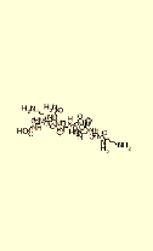 NCCCC[C@H](NC(=O)[C@H](CCC(N)=O)NC(=O)[C@@H]1CCCN1C(=O)CNC(=O)CNC(=O)[C@@H]1CCCN1C(=O)[C@H](Cc1c[nH]cn1)NC(=O)CNC(=O)[C@@H](N)CCCCN)C(=O)NCC(=O)NCC(=O)O